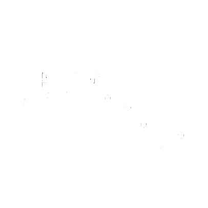 CNC(=O)c1c(-c2ccc(F)cc2)oc2cc(N(CCOCCOCCOCc3cccc(C(C)=O)c3)SC)c(C3CC3)cc12